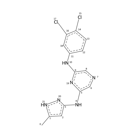 Cc1cc(Nc2cncc(Nc3ccc(Cl)c(Cl)c3)n2)n[nH]1